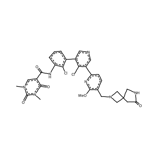 COc1nc(-c2cncc(-c3cccc(NC(=O)c4cn(C)c(=O)n(C)c4=O)c3Cl)c2Cl)ccc1CN1CC2(CNC(=O)C2)C1